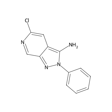 Nc1c2cc(Cl)ncc2nn1-c1ccccc1